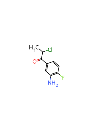 CC(Cl)C(=O)c1ccc(F)c(N)c1